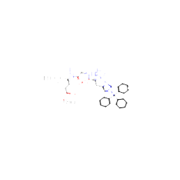 C[C@H](NC(=O)[C@@H](N)Cc1cn(C(c2ccccc2)(c2ccccc2)c2ccccc2)cn1)C(=O)N[C@@H](CCC(=O)OC(C)(C)C)C(=O)O